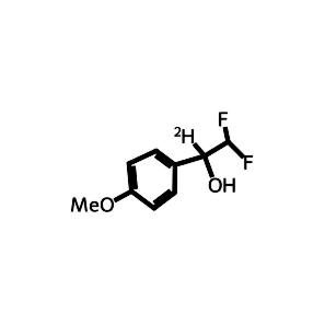 [2H]C(O)(c1ccc(OC)cc1)C(F)F